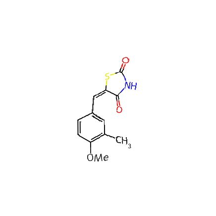 COc1ccc(C=C2SC(=O)NC2=O)cc1C